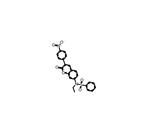 CCN(c1ccc2cc(-c3ccc([N+](=O)[O-])cc3)c(=O)oc2c1)S(=O)(=O)c1ccccc1